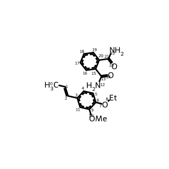 C/C=C/c1ccc(OCC)c(OC)c1.NC(=O)c1ccccc1C(N)=O